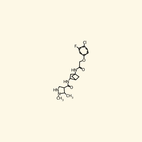 CC1C(C(=O)NC2CC3(NC(=O)COc4ccc(Cl)c(F)c4)CC2C3)CNN1C